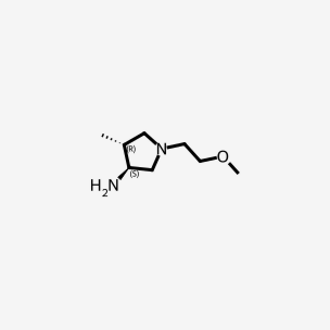 COCCN1C[C@@H](C)[C@H](N)C1